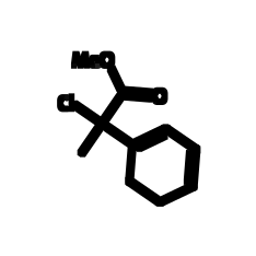 COC(=O)C(C)(Cl)C1=CC=CCC1